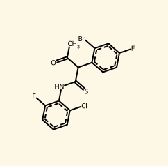 CC(=O)C(C(=S)Nc1c(F)cccc1Cl)c1ccc(F)cc1Br